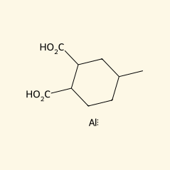 CC1CCC(C(=O)O)C(C(=O)O)C1.[Al]